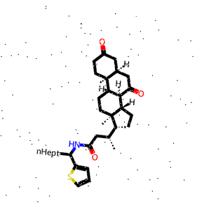 CCCCCCCC(NC(=O)C[C@@H](C)[C@H]1CC[C@H]2[C@@H]3C(=O)C[C@@H]4CC(=O)CC[C@]4(C)[C@H]3CC[C@]12C)c1cccs1